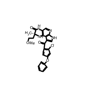 COCC[C@]1(C)Nc2c(cnc3[nH]cc(C(=O)c4ccc(Oc5ccccc5)cc4Cl)c23)NC1=O